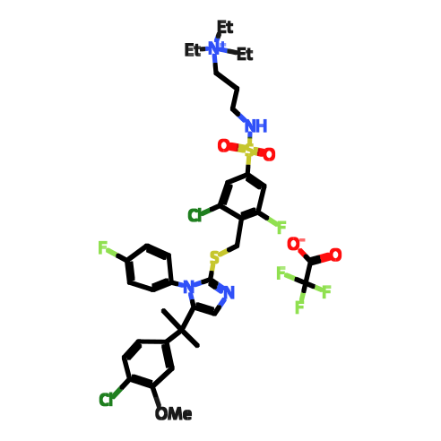 CC[N+](CC)(CC)CCCNS(=O)(=O)c1cc(F)c(CSc2ncc(C(C)(C)c3ccc(Cl)c(OC)c3)n2-c2ccc(F)cc2)c(Cl)c1.O=C([O-])C(F)(F)F